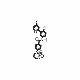 O=C(Nc1ccc(Cl)c(-c2cc(Cl)ccn2)c1)c1ccc(N2CCCNS2(=O)=O)cc1